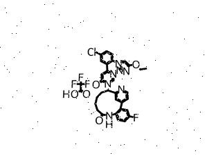 CCOc1cn(-c2ccc(Cl)cc2-c2cc(=O)n([C@H]3CCC[C@@H](C)C(=O)Nc4ccc(F)cc4-c4ccnc3c4)cn2)nn1.O=C(O)C(F)(F)F